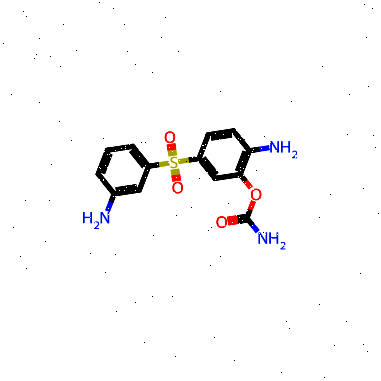 NC(=O)Oc1cc(S(=O)(=O)c2cccc(N)c2)ccc1N